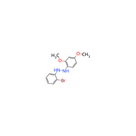 COc1ccc(NNc2ccccc2Br)c(OC)c1